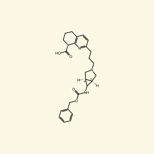 O=C(NC1[C@H]2CN(CCCc3ccc4c(n3)N(C(=O)O)CCC4)C[C@@H]12)OCc1ccccc1